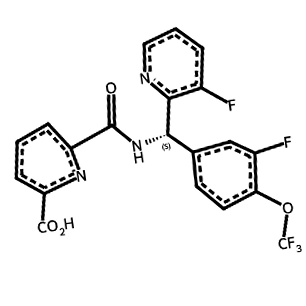 O=C(O)c1cccc(C(=O)N[C@@H](c2ccc(OC(F)(F)F)c(F)c2)c2ncccc2F)n1